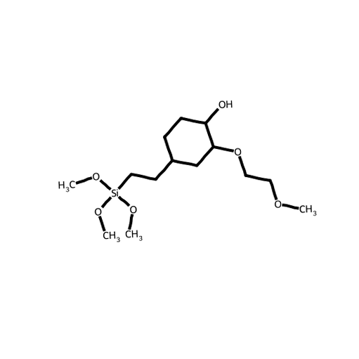 COCCOC1CC(CC[Si](OC)(OC)OC)CCC1O